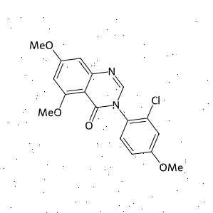 COc1ccc(-n2cnc3cc(OC)cc(OC)c3c2=O)c(Cl)c1